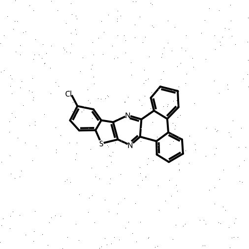 Clc1ccc2sc3nc4c5ccccc5c5ccccc5c4nc3c2c1